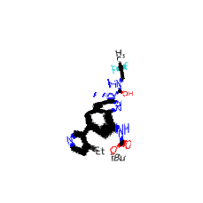 CCc1ccncc1-c1cc(NC(=O)OC(C)(C)C)c2nnc(NC(O)NCC(C)(F)F)cc2c1